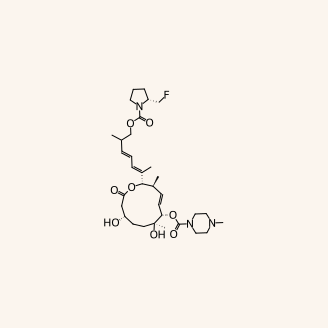 C/C(=C\C=C\C(C)COC(=O)N1CCC[C@@H]1CF)[C@H]1OC(=O)C[C@@H](O)CC[C@](C)(O)[C@@H](OC(=O)N2CCN(C)CC2)/C=C/[C@@H]1C